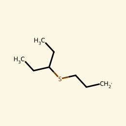 [CH2]CCSC(CC)CC